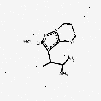 CC(c1cnn2c1NCCC2)C(N)N.Cl.Cl